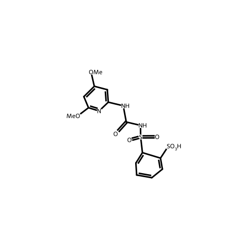 COc1cc(NC(=O)NS(=O)(=O)c2ccccc2S(=O)(=O)O)nc(OC)c1